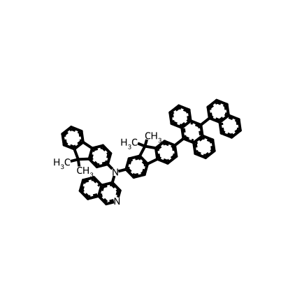 CC1(C)c2ccccc2-c2ccc(N(c3ccc4c(c3)C(C)(C)c3cc(-c5c6ccccc6c(-c6cccc7ccccc67)c6ccccc56)ccc3-4)c3cncc4ccccc34)cc21